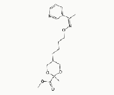 COC(=O)C1(C)OCC(CCCCON=C(C)c2cccnc2)CO1